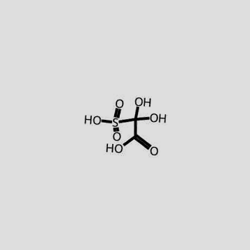 O=C(O)C(O)(O)S(=O)(=O)O